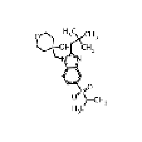 CC(C)S(=O)(=O)c1ccc2c(c1)nc(CC(C)(C)C)n2CC1(O)CCOCC1